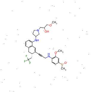 COCC(O)CN1CCC(Nc2cccc3c2C=C(C#CCNc2ccc([S+](C)[O-])cc2OC)[C@H](CC(F)(F)F)C3)C1